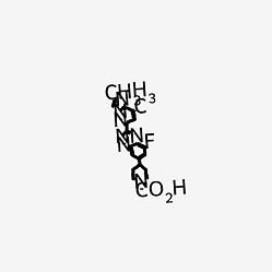 Cc1cn2nc(-c3nnc4cc(C5CCN(C(=O)O)CC5)cc(F)c4n3)cc(C)c2n1